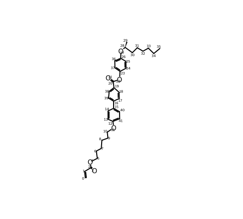 C=CC(=O)OCCCCCCOc1ccc(-c2ccc(C(=O)Oc3ccc(O[C@@H](C)CCCCCC)cc3)cc2)cc1